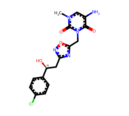 Cn1cc(N)c(=O)n(Cc2nc(C[C@H](O)c3ccc(Cl)cc3)no2)c1=O